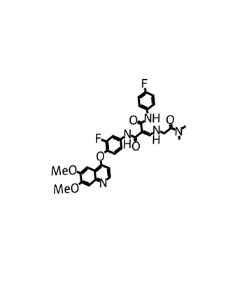 COc1cc2nccc(Oc3ccc(NC(=O)/C(=C/NCC(=O)N(C)C)C(=O)Nc4ccc(F)cc4)cc3F)c2cc1OC